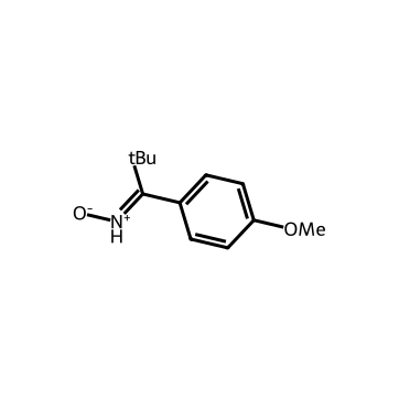 COc1ccc(C(=[NH+][O-])C(C)(C)C)cc1